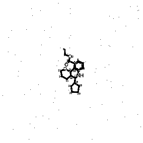 CCOC(=O)c1cccc2c1C1OCCCC1C(C1CCCC1)N2